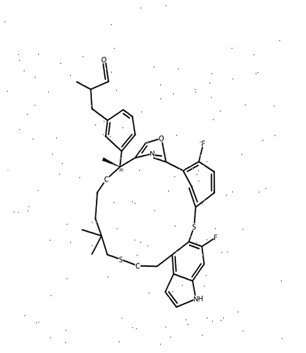 CC(C=O)Cc1cccc([C@@]2(C)CCCC(C)(C)CSCCc3c(c(F)cc4[nH]ccc34)Sc3ccc(F)c(c3)-c3nc2co3)c1